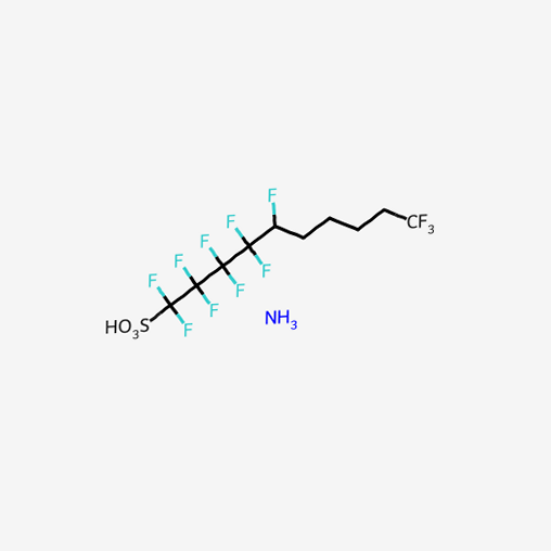 N.O=S(=O)(O)C(F)(F)C(F)(F)C(F)(F)C(F)(F)C(F)CCCCC(F)(F)F